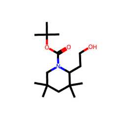 CC1(C)CN(C(=O)OC(C)(C)C)C(CCO)C(C)(C)C1